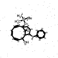 CC(C)(C)[Si](C)(C)OC12C#C/C=C\C#CC(O)C(C1=O)C(Sc1ccccc1)CC2